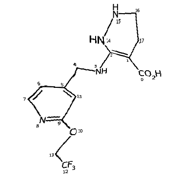 O=C(O)C1=C(NCc2ccnc(OCC(F)(F)F)c2)NNCC1